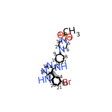 CS(=O)(=O)N1CCN([C@H]2CC[C@H](Nc3ncnc4[nH]c5ccc(Br)cc5c34)CC2)CC1